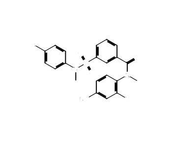 CN(C(=O)c1cccc(S(=O)(=O)N(C)c2ccc(Cl)cc2)c1)c1ccc(C#N)cc1F